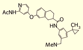 CNCc1cc(NC(=O)C2CCc3ccc(Oc4ccnc(NC(C)=O)c4)cc3C2)cc(C2(C)CC2)c1